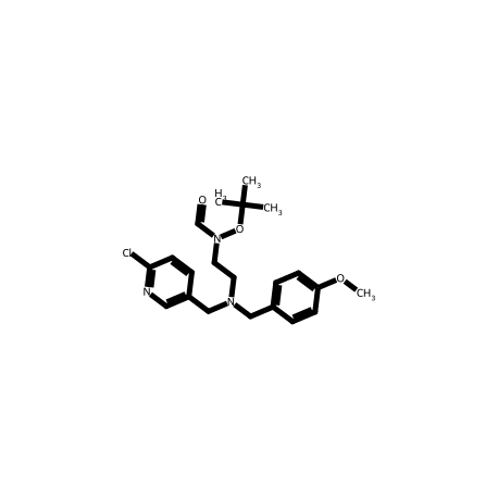 COc1ccc(CN(CCN(C=O)OC(C)(C)C)Cc2ccc(Cl)nc2)cc1